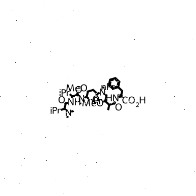 CCCC(C(CC(=O)N(CCC)CC(OC)C(C)C(=O)N[C@@H](Cc1ccccc1)C(=O)O)OC)N(C)C(=O)C(NC(=O)C(C(C)C)N(C)C)C(C)C